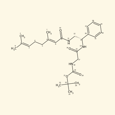 CC(C)=CCC/C(C)=C/C(=O)NC[C@@H](NC(=O)CNC(=O)OC(C)(C)C)c1ccccc1